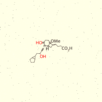 CO[C@@]12CC[C@H](O)[C@@H](C#CC(O)CC3C4CCCC43)[C@@H]1CC2=CCCC(=O)O